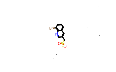 O=[SH](=O)Cc1cnc2c(Br)cccc2c1